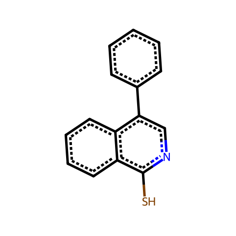 Sc1ncc(-c2ccccc2)c2ccccc12